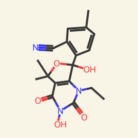 CCn1c2c(c(=O)n(O)c1=O)C(C)(C)OC2(O)c1ccc(C)cc1C#N